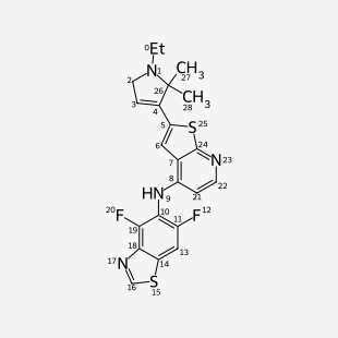 CCN1CC=C(c2cc3c(Nc4c(F)cc5scnc5c4F)ccnc3s2)C1(C)C